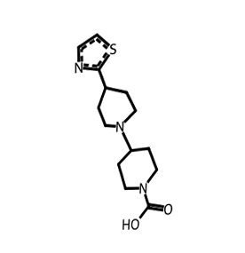 O=C(O)N1CCC(N2CCC(c3nccs3)CC2)CC1